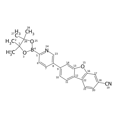 CC1(C)OB(c2ccc(-c3ccc4c(c3)oc3cc(C#N)ccc34)cn2)OC1(C)C